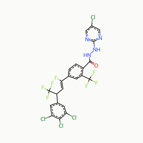 O=C(NNc1ncc(Cl)cn1)c1ccc(/C(F)=C/C(c2cc(Cl)c(Cl)c(Cl)c2)C(F)(F)F)cc1C(F)(F)F